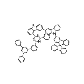 c1ccc(-c2cc(-c3ccccc3)cc(-c3cccc(-c4nc(-c5ccccc5)nc(-c5cccc6sc7ccc(-c8ccc9c(c8)c8ccccc8n9-c8ccc9c(c8)-c8ccccc8C98c9ccccc9-c9ccccc98)cc7c56)n4)c3)c2)cc1